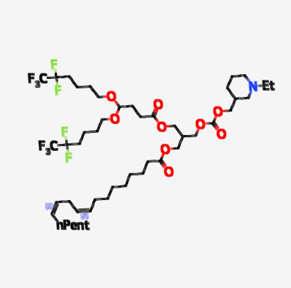 CCCCC/C=C\C/C=C\CCCCCCCC(=O)OCC(COC(=O)CCC(OCCCCC(F)(F)C(F)(F)F)OCCCCC(F)(F)C(F)(F)F)COC(=O)OCC1CCCN(CC)C1